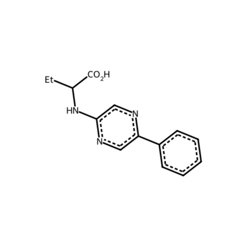 CCC(Nc1cnc(-c2ccccc2)cn1)C(=O)O